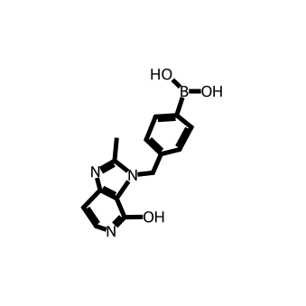 Cc1nc2ccnc(O)c2n1Cc1ccc(B(O)O)cc1